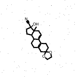 CC12CC=C3C4=C(CCC3C1CC[C@]2(O)C#N)CC1(CC4)OCCO1